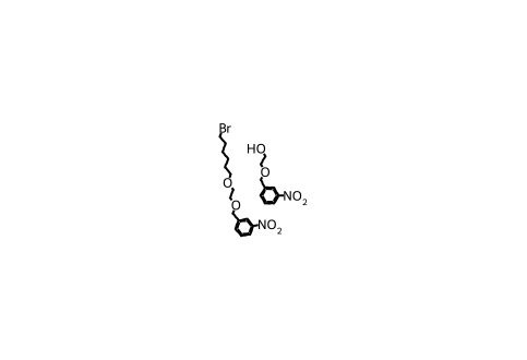 O=[N+]([O-])c1cccc(COCCO)c1.O=[N+]([O-])c1cccc(COCCOCCCCCCBr)c1